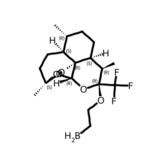 BCCO[C@@]1(C(F)(F)F)O[C@@H]2O[C@]3(C)CC[C@H]4[C@H](C)CC[C@@H]([C@H]1C)[C@@]24OO3